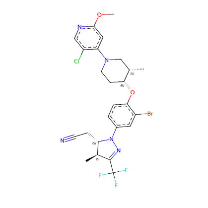 COc1cc(N2CC[C@@H](Oc3ccc(N4N=C(C(F)(F)F)[C@@H](C)[C@@H]4CC#N)cc3Br)[C@@H](C)C2)c(Cl)cn1